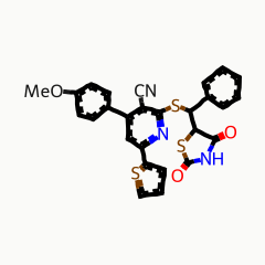 COc1ccc(-c2cc(-c3cccs3)nc(SC(c3ccccc3)C3SC(=O)NC3=O)c2C#N)cc1